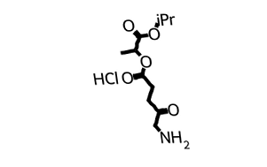 CC(C)OC(=O)C(C)OC(=O)CCC(=O)CN.Cl